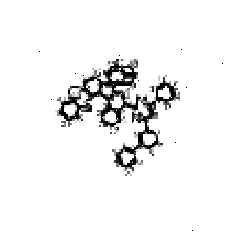 c1ccc(-c2cccc(-c3cc(-c4ccccc4)nc(-c4cc5c(c6ccccc46)-c4c(ccc6c4Sc4ccccc4O6)C54C5CC6CC(C5)CC4C6)n3)c2)cc1